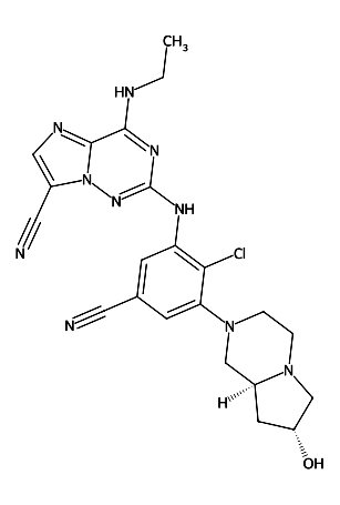 CCNc1nc(Nc2cc(C#N)cc(N3CCN4C[C@H](O)C[C@H]4C3)c2Cl)nn2c(C#N)cnc12